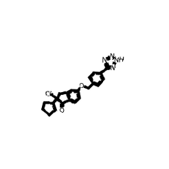 O=C1c2ccc(OCc3ccc(-c4nn[nH]n4)cc3)cc2CC1(Cl)C1CCCC1